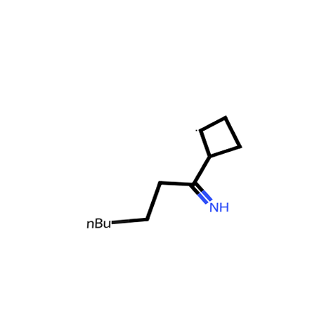 CCCCCCC(=N)C1[CH]CC1